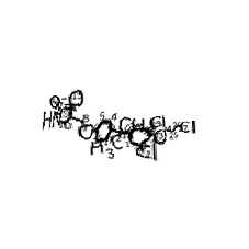 CC(C)(c1ccc(OCC2CN[S+]([O-])C2=O)cc1)c1cc(Cl)c(OCCCCl)c(Cl)c1